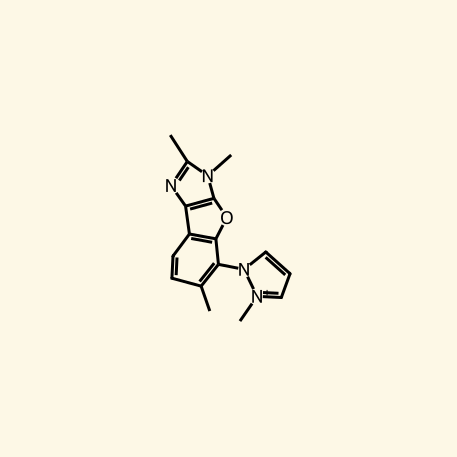 Cc1ccc2c(oc3c2nc(C)n3C)c1-n1ccc[n+]1C